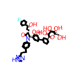 O=C1[C@H](CC[C@H](O)c2ccc(F)cc2)[C@@H](c2ccc(-c3cccc([C@@H]4O[C@H](CO)[C@@H](O)[C@H](O)[C@H]4O)c3)cc2O)N1c1ccc(CCc2nc[nH]n2)cc1